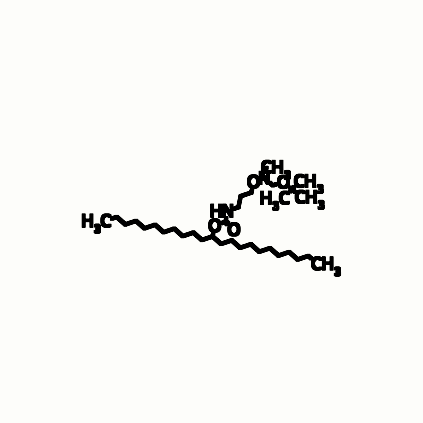 CCCCCCCCCCCC(CCCCCCCCCCC)OC(=O)NCCCON(C)COC(C)(C)C